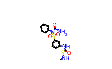 CNSC(=O)Nc1cccc(S(=O)(=O)N(C(N)=O)c2ccccc2)c1